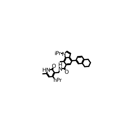 CCCc1cc(C)[nH]c(=O)c1CNC(=O)c1cc(-c2ccc3c(c2)CCCC3)c2ccn(C(C)C)c2c1C